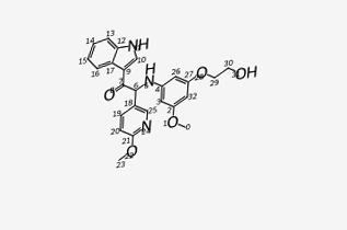 COc1cc(NC(C(=O)c2c[nH]c3ccccc23)c2ccc(OC)nc2)cc(OCCO)c1